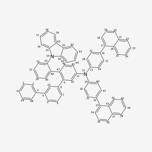 c1ccc(-c2cccc(-c3cc(N(c4ccc(-c5cccc6ccccc56)cc4)c4ccc(-c5cccc6ccccc56)cc4)ccc3-c3ccccc3-n3c4ccccc4c4ccccc43)c2)cc1